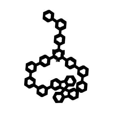 c1ccc(-c2cccc(-c3ccc(-c4nc(-c5ccc(-c6cccc(-c7ccccc7)c6)cc5)nc(-c5ccc(-c6cccc(-c7cccc(-c8cccc(-c9ccc%10c(c9)C9(c%11ccccc%11-c%11ccccc%119)c9ccccc9-%10)c8)c7)c6)cc5)n4)cc3)c2)cc1